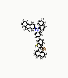 CC1(C)c2ccccc2-c2ccc(-n3c4ccc(-c5ccc6c(Br)c(-c7cccc8ccccc78)sc6c5)cc4c4ccc5ccccc5c43)cc21